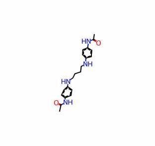 CC(=O)Nc1ccc(NCCCCNc2ccc(NC(C)=O)cc2)cc1